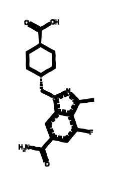 Cc1nn(C[C@H]2CC[C@H](C(=O)O)CC2)c2cc(C(N)=O)cc(F)c12